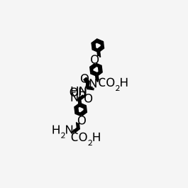 NC(CCOc1ccc(/C(=N/O)C(=O)NC2CN(C(C(=O)O)c3ccc(OCc4ccccc4)cc3)C2=O)cc1)C(=O)O